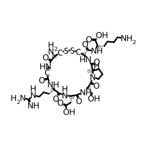 N=C(N)NCCC[C@@H]1NC(=O)CNC(=O)[C@H](N)CSSC[C@H](C(=O)N[C@@H](CCCCN)C(=O)O)NC(=O)[C@@H]2CCCN2C(=O)[C@H](CO)NC(=O)[C@H](CC(=O)O)NC1=O